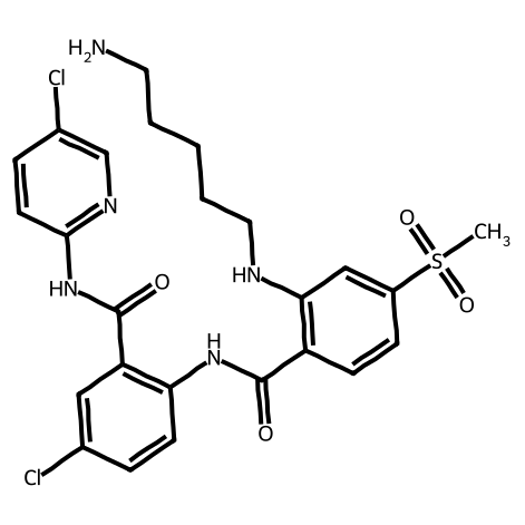 CS(=O)(=O)c1ccc(C(=O)Nc2ccc(Cl)cc2C(=O)Nc2ccc(Cl)cn2)c(NCCCCCN)c1